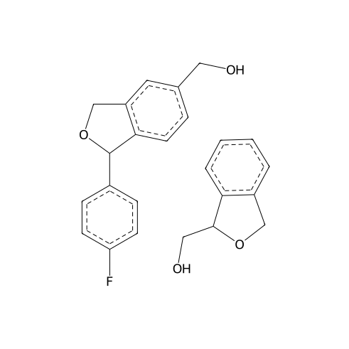 OCC1OCc2ccccc21.OCc1ccc2c(c1)COC2c1ccc(F)cc1